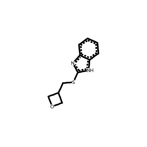 c1ccc2[nH]c(SCC3COC3)nc2c1